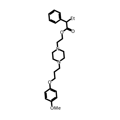 CCC(C(=O)OCCN1CCN(CCCOc2ccc(OC)cc2)CC1)c1ccccc1